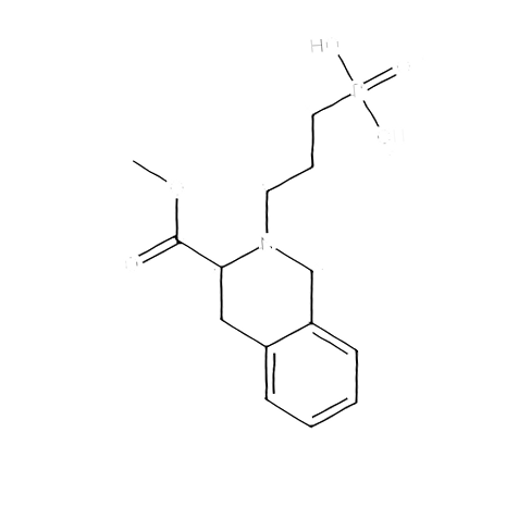 COC(=O)C1Cc2ccccc2CN1CCCP(=O)(O)O